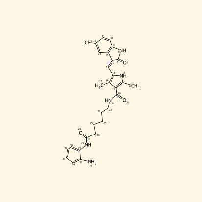 Cc1[nH]c(/C=C2\C(=O)Nc3ccc(Cl)cc32)c(C)c1C(=O)NCCCCCC(=O)Nc1ccccc1N